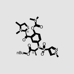 CCCCOC(=O)[C@H](C)N(c1ccc(OC(=O)N(C)C)c(C(=O)[C@@H]2SCC(C)N2C)c1)S(=O)(=O)c1cnn(C)c1